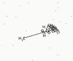 CCCCCCCCCCCCCCCCCC(=O)NCCOC(=O)c1cc(C(C)(C)C)c(O)c(C(C)(C)C)c1